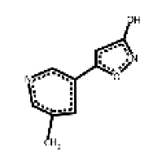 Cc1cncc(-c2cc(O)no2)c1